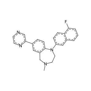 CN1CCN(c2ccc3c(F)cccc3c2)c2ccc(-c3cnccn3)cc2C1